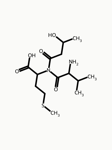 CSCCC(C(=O)O)N(C(=O)CC(C)O)C(=O)C(N)C(C)C